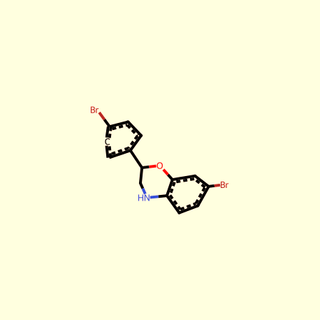 Brc1ccc(C2CNc3ccc(Br)cc3O2)cc1